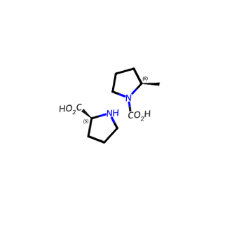 C[C@@H]1CCCN1C(=O)O.O=C(O)[C@@H]1CCCN1